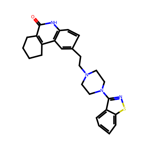 O=c1[nH]c2ccc(CCN3CCN(c4nsc5ccccc45)CC3)cc2c2c1CCCC2